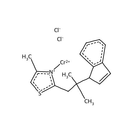 Cc1csc(CC(C)(C)C2C=Cc3ccccc32)[n+]1[Cr+2].[Cl-].[Cl-]